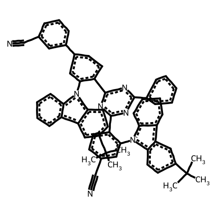 CC(C)(C)c1ccc2c(c1)c1ccccc1n2-c1cc(C#N)ccc1-c1nc(-c2ccccc2)nc(-c2ccc(-c3cccc(C#N)c3)cc2-n2c3ccccc3c3cc(C(C)(C)C)ccc32)n1